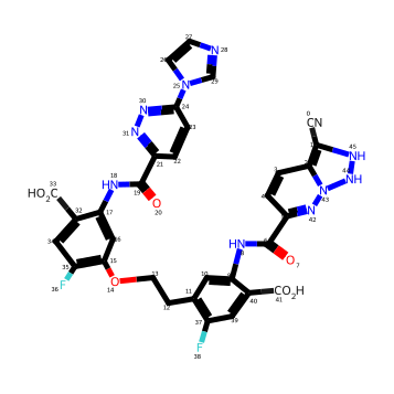 N#CC1=C2C=CC(C(=O)Nc3cc(CCOc4cc(NC(=O)c5ccc(-n6ccnc6)nn5)c(C(=O)O)cc4F)c(F)cc3C(=O)O)=NN2NN1